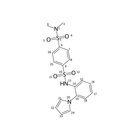 CN(C)S(=O)(=O)c1ccc(S(=O)(=O)Nc2ccccc2-n2cccc2)cc1